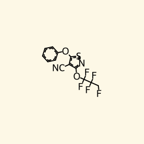 N#Cc1c(OC(F)(F)C(F)(F)CF)nsc1Oc1ccccc1